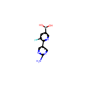 Nc1ncc(-c2ncc(B(O)O)cc2F)cn1